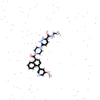 CCOc1cncc(-c2ccc(C(=O)N3CCN(c4ccc(C(=O)NCC(F)(F)F)nn4)CC3)c3ccccc23)c1